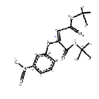 CC(C)(C)OC(=O)/C=C(/Oc1cccc([N+](=O)[O-])c1)C(=O)OC(C)(C)C